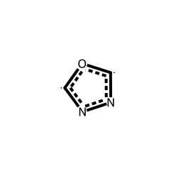 [c]1nn[c]o1